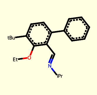 CCOc1c(C(C)(C)C)ccc(-c2ccccc2)c1/C=N/C(C)C